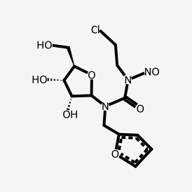 O=NN(CCCl)C(=O)N(Cc1ccco1)C1O[C@H](CO)[C@@H](O)[C@H]1O